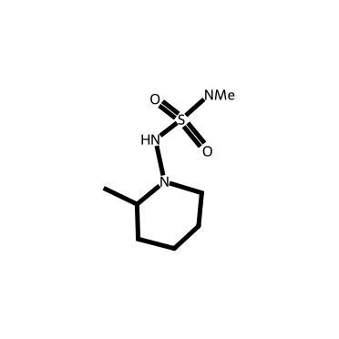 CNS(=O)(=O)NN1CCCCC1C